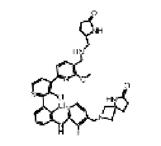 COc1nc(-c2ccnc(-c3cccc(Nc4nccc(CN5CC6(CCC(=O)N6)C5)c4F)c3Cl)c2Cl)ccc1CNCC1CCC(=O)N1